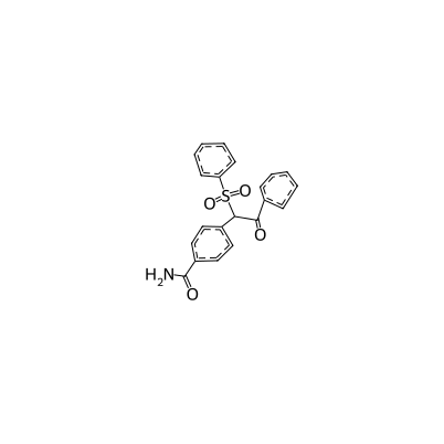 NC(=O)c1ccc(C(C(=O)c2ccccc2)S(=O)(=O)c2ccccc2)cc1